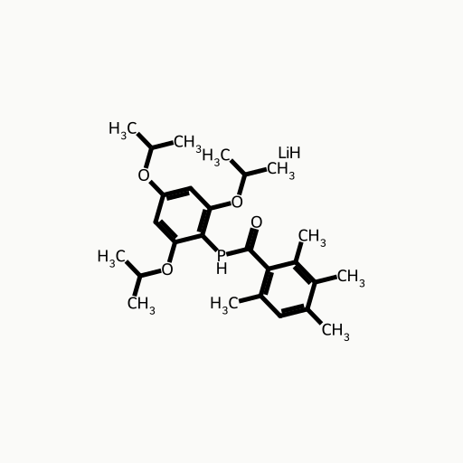 Cc1cc(C)c(C(=O)Pc2c(OC(C)C)cc(OC(C)C)cc2OC(C)C)c(C)c1C.[LiH]